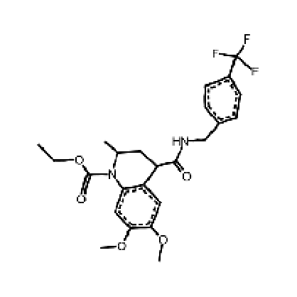 CCOC(=O)N1c2cc(OC)c(OC)cc2C(C(=O)NCc2ccc(C(F)(F)F)cc2)CC1C